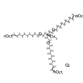 CCCCCCCCC=CCCCCCCCCOCC[N+](C)(CCOCCCCCCCCC=CCCCCCCCC)CCOCCCCCCCCC=CCCCCCCCC.[Cl-]